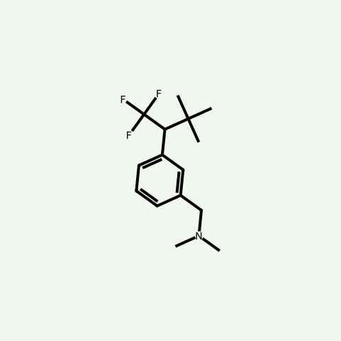 CN(C)Cc1cccc(C(C(C)(C)C)C(F)(F)F)c1